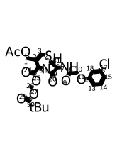 CC(=O)OCC1=CS[C@H]2C(NC(=O)COc3cccc(Cl)c3)C(=O)N2C1C(=O)OCOC(=O)C(C)(C)C